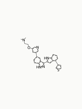 CN(C)CCOc1cncc(-c2ccc3[nH]nc(-c4cc5c(-c6ccsc6)cccc5[nH]4)c3c2)c1